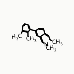 C=N/C=c1/cc(-c2cccc(C)c2C)cc/c1=C/CC